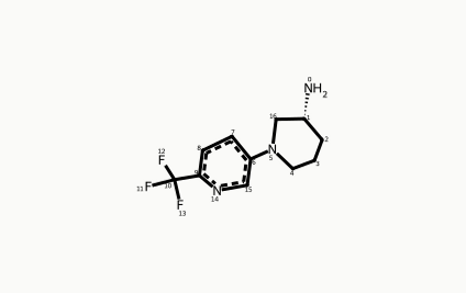 N[C@@H]1CCCN(c2ccc(C(F)(F)F)nc2)C1